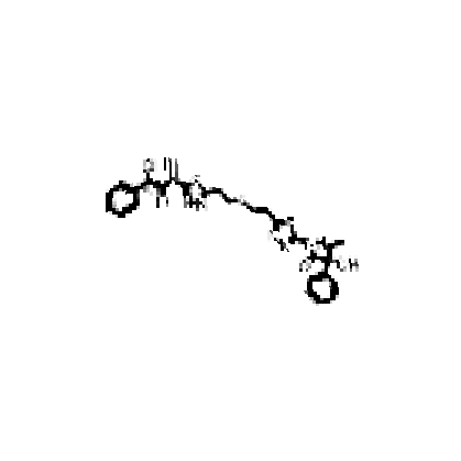 CC[C@](O)(C(=O)Nc1nnc(CCSCCc2nnc(NC(=O)[C@H](O)c3ccccc3)s2)s1)c1ccccc1